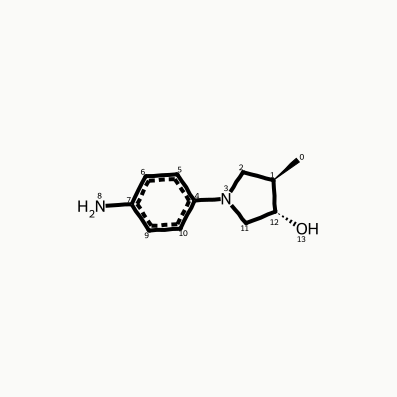 C[C@@H]1CN(c2ccc(N)cc2)C[C@H]1O